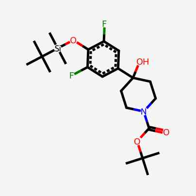 CC(C)(C)OC(=O)N1CCC(O)(c2cc(F)c(O[Si](C)(C)C(C)(C)C)c(F)c2)CC1